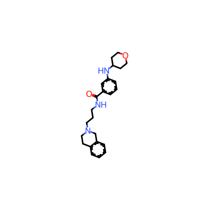 O=C(NCCCN1CCc2ccccc2C1)c1cccc(NC2CCOCC2)c1